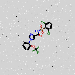 O=C(NS(=O)(=O)c1c(Cl)cccc1Cl)c1cn(-c2ccccc2OC(F)(F)F)cn1